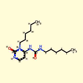 CCCCCCNC(=O)Nc1ccnc(=O)n1CCCCCC